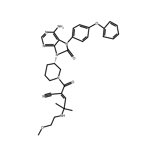 COCCNC(C)(C)C=C(C#N)C(=O)N1CCC[C@H](n2c(=O)n(-c3ccc(Oc4ccccc4)cc3)c3c(N)ncnc32)C1